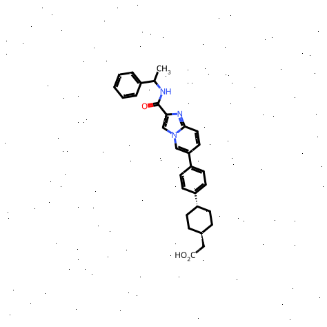 CC(NC(=O)c1cn2cc(-c3ccc([C@H]4CC[C@H](CC(=O)O)CC4)cc3)ccc2n1)c1ccccc1